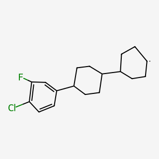 Fc1cc(C2CCC(C3CC[CH]CC3)CC2)ccc1Cl